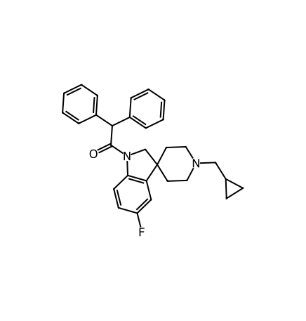 O=C(C(c1ccccc1)c1ccccc1)N1CC2(CCN(CC3CC3)CC2)c2cc(F)ccc21